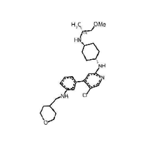 COC[C@@H](C)N[C@H]1CC[C@H](Nc2cc(-c3cccc(NCC4CCOCC4)c3)c(Cl)cn2)CC1